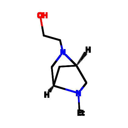 CCN1C[C@H]2C[C@@H]1CN2CCO